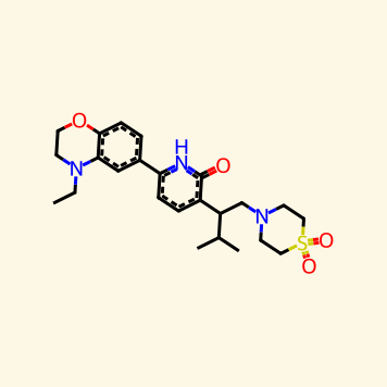 CCN1CCOc2ccc(-c3ccc(C(CN4CCS(=O)(=O)CC4)C(C)C)c(=O)[nH]3)cc21